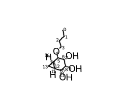 CCCCO[C@H]1[C@H](O)[C@@H](O)[C@H](O)[C@H]2C[C@H]21